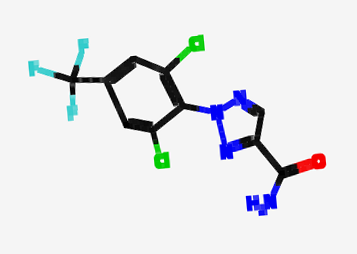 NC(=O)c1cnn(-c2c(Cl)cc(C(F)(F)F)cc2Cl)n1